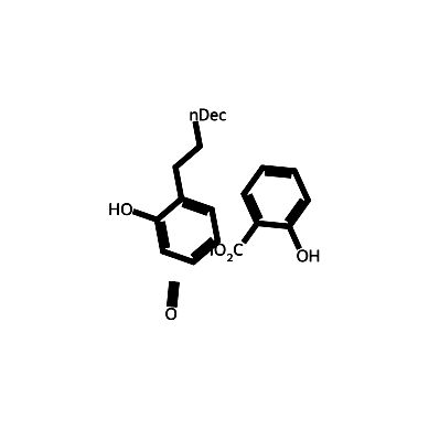 C=O.CCCCCCCCCCCCc1ccccc1O.O=C(O)c1ccccc1O